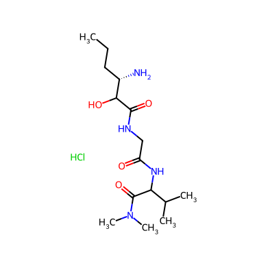 CCC[C@H](N)C(O)C(=O)NCC(=O)NC(C(=O)N(C)C)C(C)C.Cl